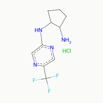 Cl.NC1CCCC1Nc1cnc(C(F)(F)F)cn1